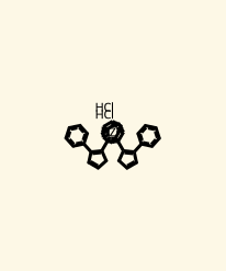 C1=CC(c2ccccc2)=C([C]23[CH]4[CH]5[CH]6[C]2(C2=C(c7ccccc7)C=CC2)[Zr]54632789[CH]3[CH]2[CH]7[CH]8[CH]39)C1.Cl.Cl